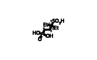 CCC(CC)(CCP(=O)(O)O)S(=O)(=O)O